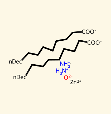 CCCCCCCCCCCCCCCCCC(=O)[O-].CCCCCCCCCCCCCCCCCC(=O)[O-].[NH3+].[NH3+].[O-2].[Zn+2]